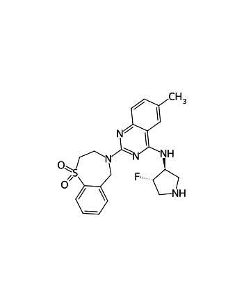 Cc1ccc2nc(N3CCS(=O)(=O)c4ccccc4C3)nc(N[C@H]3CNC[C@@H]3F)c2c1